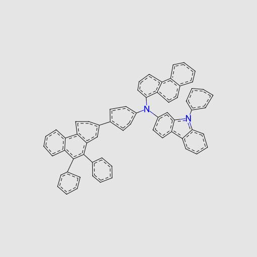 c1ccc(-c2c(-c3ccccc3)c3cc(-c4ccc(N(c5ccc6c7ccccc7n(-c7ccccc7)c6c5)c5cccc6c5ccc5ccccc56)cc4)ccc3c3ccccc23)cc1